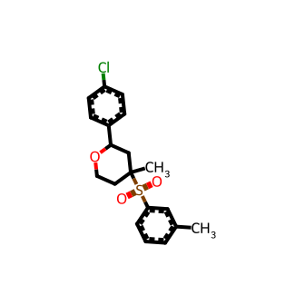 Cc1cccc(S(=O)(=O)C2(C)CCOC(c3ccc(Cl)cc3)C2)c1